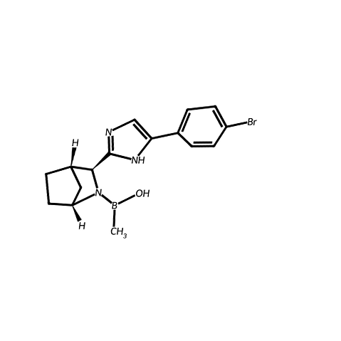 CB(O)N1[C@@H]2CC[C@@H](C2)[C@H]1c1ncc(-c2ccc(Br)cc2)[nH]1